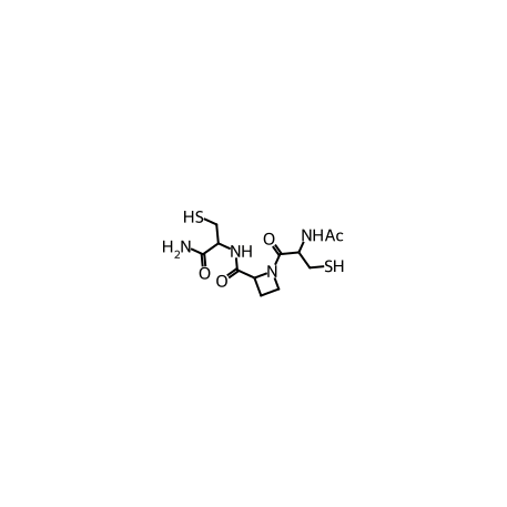 CC(=O)NC(CS)C(=O)N1CCC1C(=O)NC(CS)C(N)=O